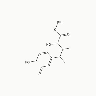 BOC(=O)[C@@H](O)C(C)C(C)C(/C=C\CO)=C/C=C